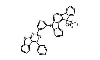 CC1(C)c2ccccc2-c2ccc3c(c21)c1ccccc1n3-c1cccc(-c2nc(-c3ccccc3)c3c(n2)sc2ccccc23)c1